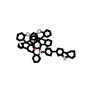 c1ccc2c(c1)Oc1ccccc1C21c2ccccc2-c2cc(-c3ccccc3N(c3ccc(-c4ccc5c(c4)sc4ccccc45)cc3)c3cccc4c3-c3ccccc3C43c4ccccc4Oc4ccccc43)ccc21